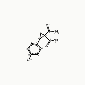 NC(=O)C1(C(N)=O)CC1c1ccc(Cl)cc1